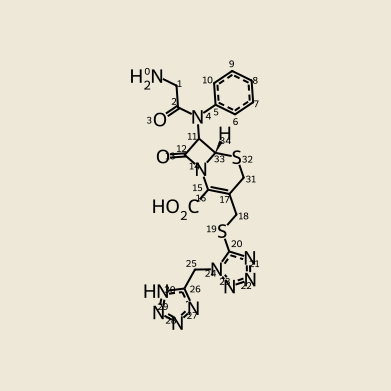 NCC(=O)N(c1ccccc1)C1C(=O)N2C(C(=O)O)=C(CSc3nnnn3Cc3nnn[nH]3)CS[C@@H]12